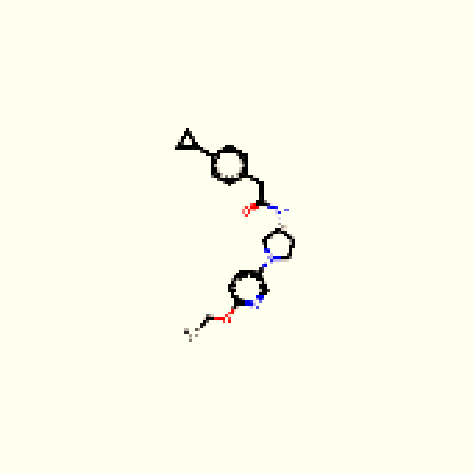 O=C(Cc1ccc(C2CC2)cc1)N[C@@H]1CCN(c2ccc(OCC(F)(F)F)nc2)C1